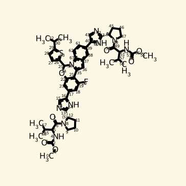 COC(=O)NC(C(=O)N1CCC[C@H]1c1ncc(-c2cc(F)c3c(c2)OC(c2ccc(C(C)C)s2)n2c-3cc3cc(-c4cnc([C@@H]5CCCN5C(=O)C(NC(=O)OC)C(C)C)[nH]4)ccc32)[nH]1)C(C)C